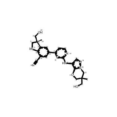 CC1(CO)COc2c(Nc3nccc(-c4cc(C#N)c5c(c4)[C@@](C)(CO)CN5)n3)cnn2C1